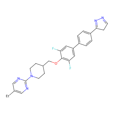 CCc1cnc(N2CCC(COc3c(F)cc(-c4ccc(C5=NN=CC5)cc4)cc3F)CC2)nc1